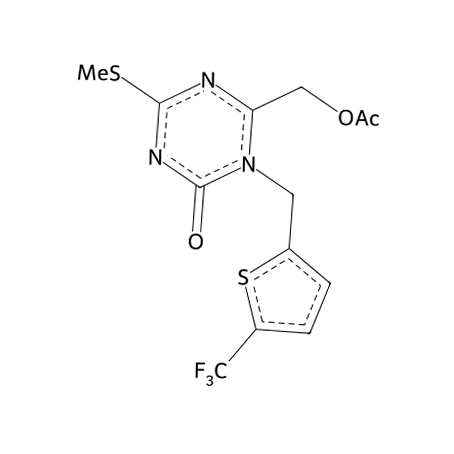 CSc1nc(COC(C)=O)n(Cc2ccc(C(F)(F)F)s2)c(=O)n1